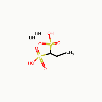 CCC(S(=O)(=O)O)S(=O)(=O)O.[LiH].[LiH]